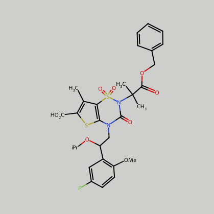 COc1ccc(F)cc1C(CN1C(=O)N(C(C)(C)C(=O)OCc2ccccc2)S(=O)(=O)c2c1sc(C(=O)O)c2C)OC(C)C